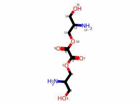 NC(CO)COC(=O)C(=O)OCC(N)CO